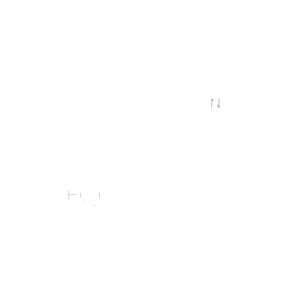 CN(C)CCCCCCCCCC(=O)O